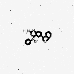 Nc1nc(N(Br)c2ccccc2)c2cc(-c3cncc4ccccc34)ccc2n1